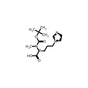 CN(C(=O)OC(C)(C)C)[C@@H](CCCn1ccnc1)C(=O)O